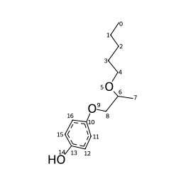 CCCCCOC(C)COc1ccc(O)cc1